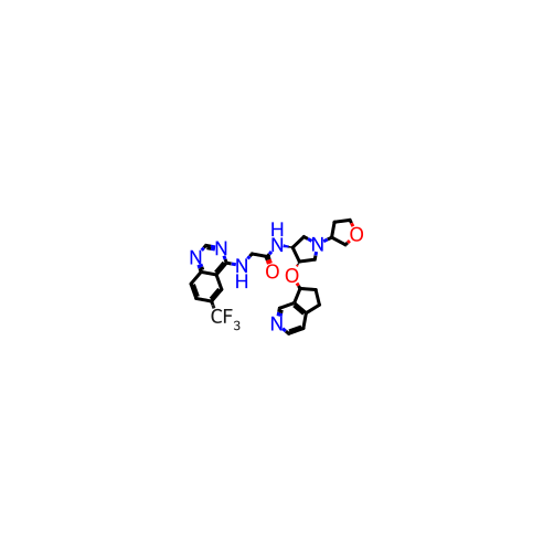 O=C(CNc1ncnc2ccc(C(F)(F)F)cc12)N[C@H]1CN(C2CCOC2)C[C@@H]1OC1CCc2ccncc21